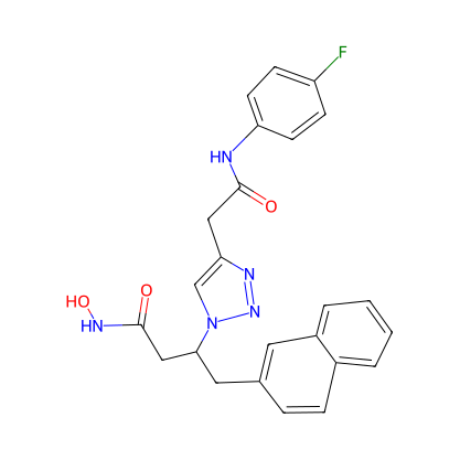 O=C(CC(Cc1ccc2ccccc2c1)n1cc(CC(=O)Nc2ccc(F)cc2)nn1)NO